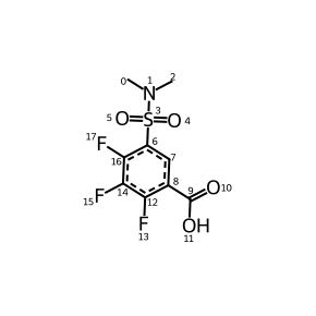 CN(C)S(=O)(=O)c1cc(C(=O)O)c(F)c(F)c1F